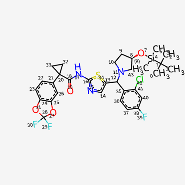 CC(C)(C)[Si](C)(C)O[C@@H]1CCN(C(c2cnc(NC(=O)C3(c4ccc5c(c4)OC(F)(F)O5)CC3)s2)c2ccc(F)cc2Cl)C1